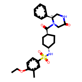 CCOc1ccc(S(=O)(=O)N[C@H]2CC[C@H](C(=O)N3CC(=O)NC[C@@H]3c3ccccc3)CC2)cc1C